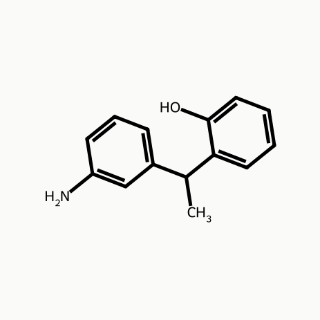 CC(c1cccc(N)c1)c1ccccc1O